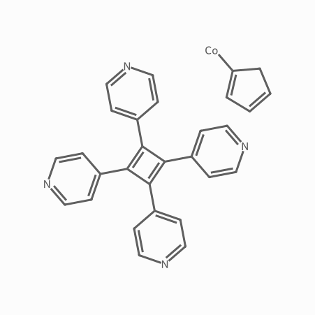 [Co][C]1=CC=CC1.c1cc(C2=C(c3ccncc3)C(c3ccncc3)=C2c2ccncc2)ccn1